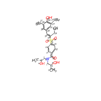 CC(O)CN(CC(C)O)C(=O)c1ccc(S(=O)(=O)C(=Cc2cc(C(C)(C)C)c(O)c(C(C)(C)C)c2)CC#N)cc1